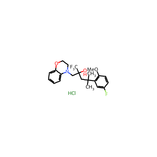 COc1ccc(F)cc1C(C)(C)CC(O)(CN1CCOc2ccccc21)C(F)(F)F.Cl